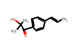 CC=Cc1ccc(C(=O)C(C)(C)O)cc1